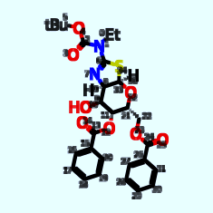 CCN(C(=O)OC(C)(C)C)C1=N[C@@H]2[C@H](O)[C@@H](OC(=O)c3ccccc3)[C@@H](COC(=O)c3ccccc3)O[C@@H]2S1